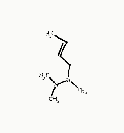 CC=CCN(C)N(C)C